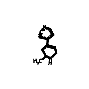 CC1CC(c2ccncc2)=CCN1